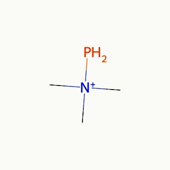 C[N+](C)(C)P